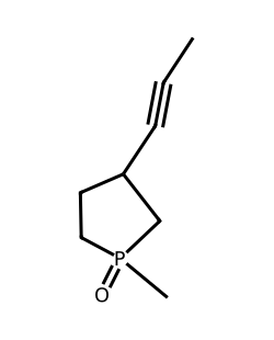 CC#CC1CCP(C)(=O)C1